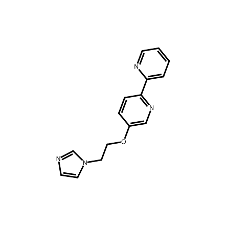 c1ccc(-c2ccc(OCCn3ccnc3)cn2)nc1